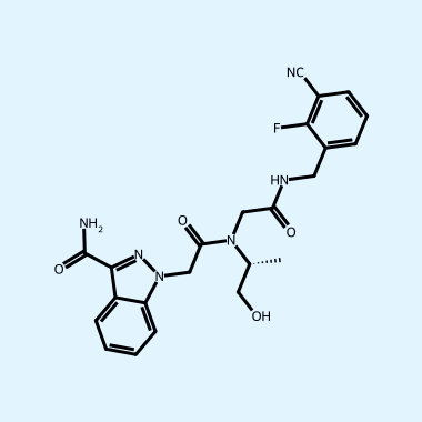 C[C@H](CO)N(CC(=O)NCc1cccc(C#N)c1F)C(=O)Cn1nc(C(N)=O)c2ccccc21